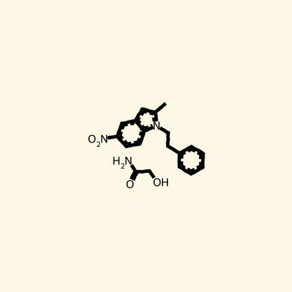 Cc1cc2cc([N+](=O)[O-])ccc2n1CCc1ccccc1.NC(=O)CO